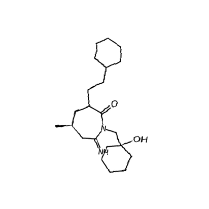 C[C@@H]1CC(=N)N(CC2(O)CCCCC2)C(=O)C(CCC2CCCCC2)C1